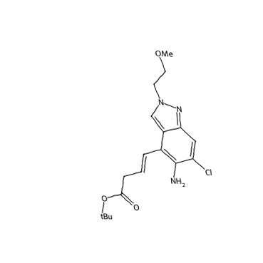 COCCn1cc2c(/C=C/CC(=O)OC(C)(C)C)c(N)c(Cl)cc2n1